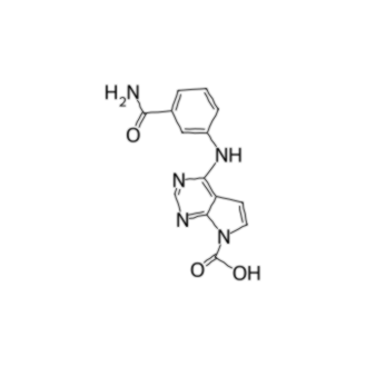 NC(=O)c1cccc(Nc2ncnc3c2ccn3C(=O)O)c1